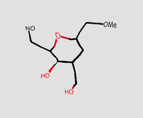 COCC1CC(CO)[C@@H](O)C(CN=O)O1